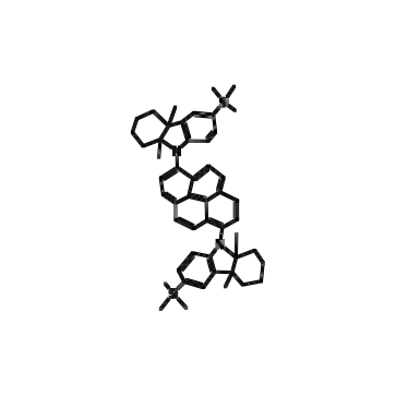 CC12CCCCC1(C)N(c1ccc3ccc4c(N5c6ccc([Si](C)(C)C)cc6C6(C)CCCCC56C)ccc5ccc1c3c54)c1ccc([Si](C)(C)C)cc12